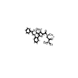 CCN(CC)C(=O)CN(C)C(=O)c1sc2c(c1OC)c(=O)n(CC(=O)c1ccccc1)c1ccccc21